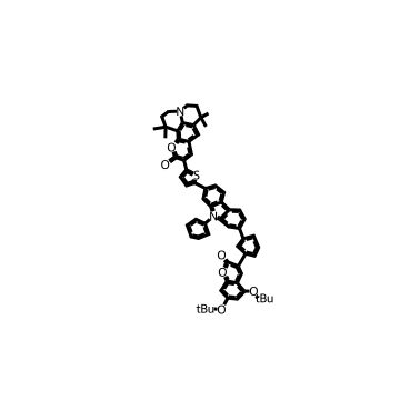 CC(C)(C)Oc1cc(OC(C)(C)C)c2cc(-c3cccc(-c4ccc5c6ccc(-c7ccc(-c8cc9cc%10c%11c(c9oc8=O)C(C)(C)CCN%11CCC%10(C)C)s7)cc6n(-c6ccccc6)c5c4)c3)c(=O)oc2c1